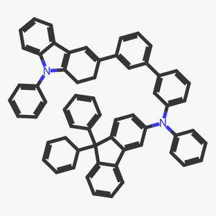 C1=CCC(C2(c3ccccc3)c3ccccc3-c3cc(N(c4ccccc4)c4cccc(-c5cccc(C6=Cc7c(n(-c8ccccc8)c8ccccc78)CC6)c5)c4)ccc32)C=C1